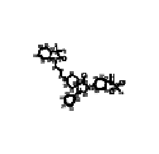 CC1(C)C(=O)N(CCCN2CCC3(CC2)C(=O)N(c2ccc(NS(C)(=O)=O)cc2)CN3c2ccccc2)C2C=CC=CC21